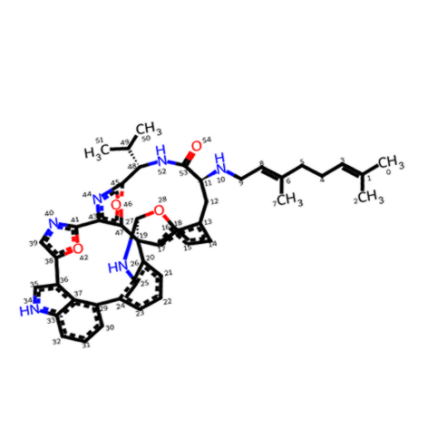 CC(C)=CCC/C(C)=C/CN[C@H]1Cc2ccc3c(c2)[C@]24c5cccc(c5NC2O3)-c2cccc3[nH]cc(c23)-c2cnc(o2)-c2nc(oc24)[C@H](C(C)C)NC1=O